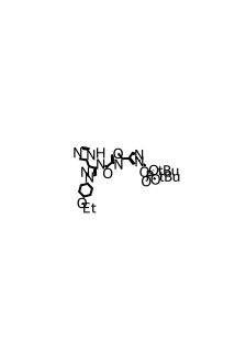 CCO[C@H]1CC[C@H](n2cc(NC(=O)c3coc(-c4cnn(COP(=O)(OC(C)(C)C)OC(C)(C)C)c4)n3)c(-c3cnccn3)n2)CC1